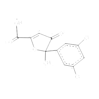 CC1(c2cc(Cl)cc(Cl)c2)OC(C(=O)O)=CC1=O